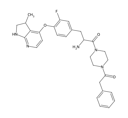 CC1CNc2nccc(Oc3ccc(CC(N)C(=O)N4CCN(C(=O)Cc5ccccc5)CC4)cc3F)c21